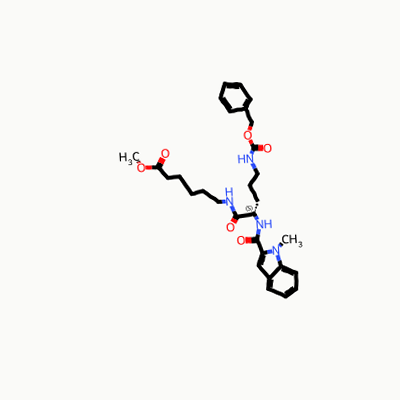 COC(=O)CCCCCNC(=O)[C@H](CCCNC(=O)OCc1ccccc1)NC(=O)c1cc2ccccc2n1C